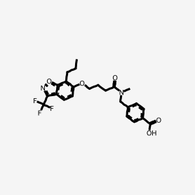 CCCc1c(OCCCC(=O)N(C)Cc2ccc(C(=O)O)cc2)ccc2c(C(F)(F)F)noc12